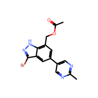 CC(=O)OCc1cc(-c2cnc(C)nc2)cc2c(Br)n[nH]c12